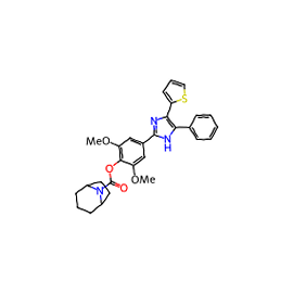 COc1cc(-c2nc(-c3cccs3)c(-c3ccccc3)[nH]2)cc(OC)c1OC(=O)N1C2CCCC1CC2